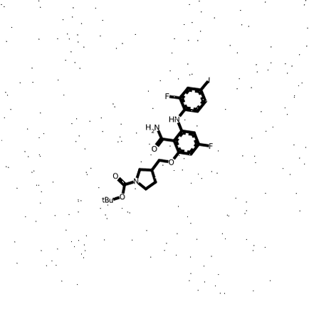 CC(C)(C)OC(=O)N1CCC(COc2cc(F)cc(Nc3ccc(I)cc3F)c2C(N)=O)C1